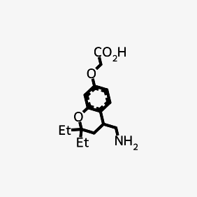 CCC1(CC)CC(CN)c2ccc(OCC(=O)O)cc2O1